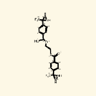 O=C(OCCOC(O)c1ccc(C2(C(F)(F)F)NN2)cc1)c1ccc(C2(C(F)(F)F)NN2)cc1